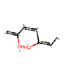 C=C(O)/C=C\C(O)=C/C